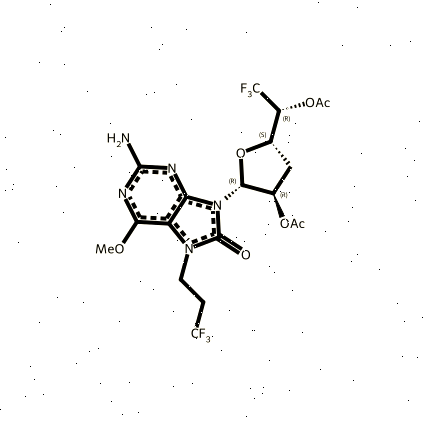 COc1nc(N)nc2c1n(CCC(F)(F)F)c(=O)n2[C@@H]1O[C@H]([C@@H](OC(C)=O)C(F)(F)F)C[C@H]1OC(C)=O